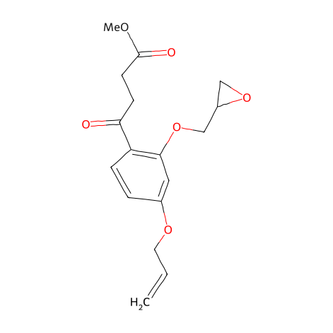 C=CCOc1ccc(C(=O)CCC(=O)OC)c(OCC2CO2)c1